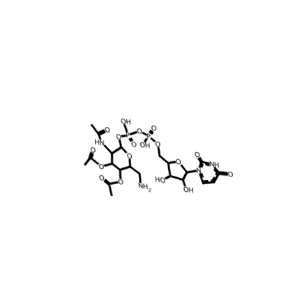 CC(=O)NC1C(OP(=O)(O)OP(=O)(O)OCC2OC(n3ccc(=O)[nH]c3=O)C(O)C2O)OC(CN)C(OC(C)=O)C1OC(C)=O